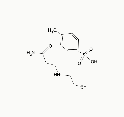 Cc1ccc(S(=O)(=O)O)cc1.NC(=O)CCNCCS